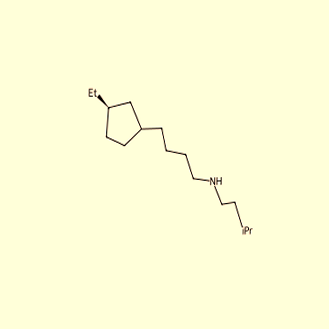 CC[C@@H]1CCC(CCCCNCCC(C)C)C1